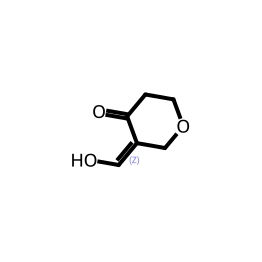 O=C1CCOC/C1=C/O